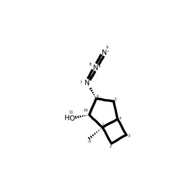 C[C@@]12CCC1C[C@@H](N=[N+]=[N-])[C@H]2O